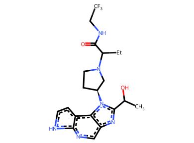 CCC(C(=O)NCC(F)(F)F)N1CC[C@H](n2c(C(C)O)nc3cnc4[nH]ccc4c32)C1